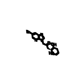 O=C(C[C@H]1NCCC[C@@H]1O)Cn1cnc2cc(Br)cnc21